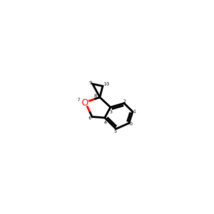 c1ccc2c(c1)COC21CC1